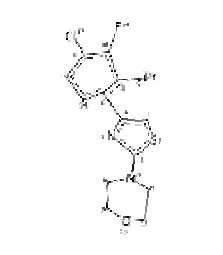 CC(C)c1c(-c2csc(N3CCOCC3)n2)ccc(Cl)c1F